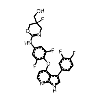 OC[C@]1(F)CN=C(Nc2cc(F)c(Oc3ccnc4[nH]cc(-c5ccc(F)c(F)c5)c34)c(F)c2)OC1